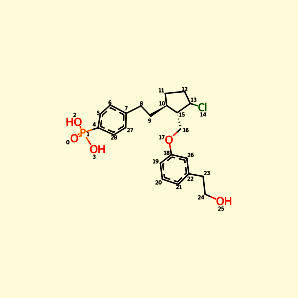 O=P(O)(O)c1ccc(CC[C@H]2CCC(Cl)[C@@H]2COc2cccc(CCO)c2)cc1